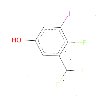 Oc1cc(I)c(F)c(C(F)F)c1